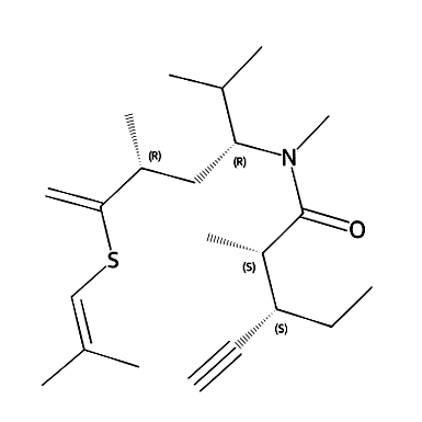 C#C[C@@H](CC)[C@H](C)C(=O)N(C)[C@H](C[C@@H](C)C(=C)SC=C(C)C)C(C)C